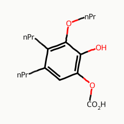 CCCOc1c(O)c(OC(=O)O)cc(CCC)c1CCC